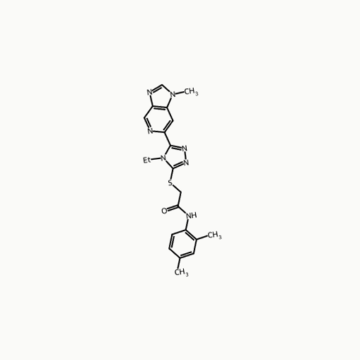 CCn1c(SCC(=O)Nc2ccc(C)cc2C)nnc1-c1cc2c(cn1)ncn2C